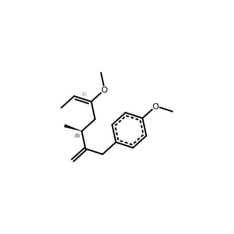 C=C(Cc1ccc(OC)cc1)[C@@H](C)C/C(=C\C)OC